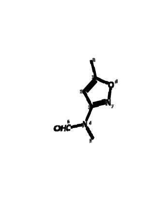 Cc1cc(N(C)C=O)no1